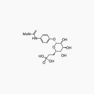 C=C(NC)Nc1ccc(O[C@H]2O[C@H](CCP(=O)(O)O)[C@@H](O)[C@H](O)[C@@H]2O)cc1